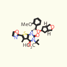 COc1ccccc1[C@@H](Cn1c(=O)n(C(C)(C)C(=O)O)c(=O)c2c(C)c(-c3ncco3)sc21)OC1C[C@H]2COC[C@@H]2C1